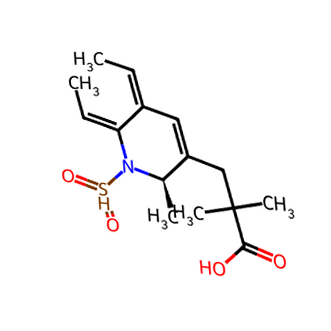 C/C=C1/C=C(CC(C)(C)C(=O)O)[C@@H](C)N([SH](=O)=O)/C1=C/C